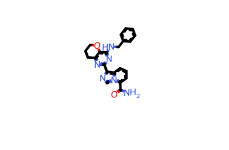 NC(=O)c1cccc2c(-c3nc4c(c(NCc5ccccc5)n3)OCCC4)ncn12